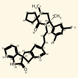 CN1C[C@@](C)(c2cc(F)cc(F)c2)N(CCCc2cnc3c(c2)C[C@@]2(C3)C(=O)Nc3ncccc32)C(=O)C12CCCC2